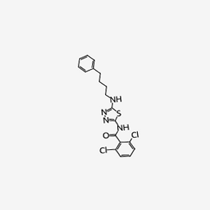 O=C(Nc1nnc(NCCCCc2ccccc2)s1)c1c(Cl)cccc1Cl